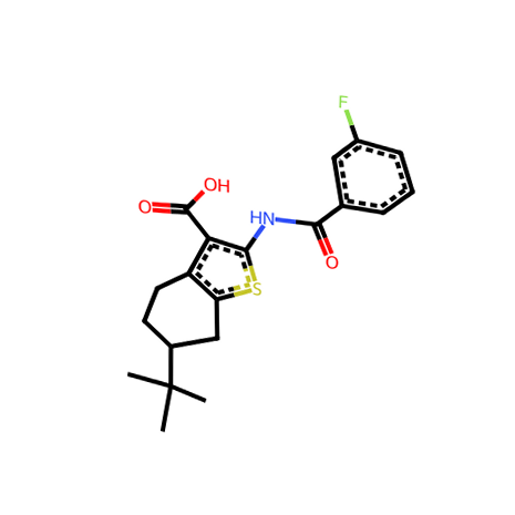 CC(C)(C)C1CCc2c(sc(NC(=O)c3cccc(F)c3)c2C(=O)O)C1